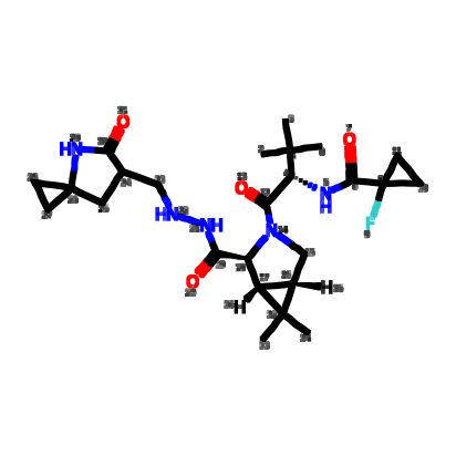 CC(C)(C)[C@H](NC(=O)C1(F)CC1)C(=O)N1C[C@H]2[C@@H]([C@H]1C(=O)NNCC1CC3(CC3)NC1=O)C2(C)C